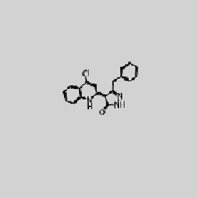 O=C1NN=C(Cc2ccccc2)C1=C1C=C(Cl)c2ccccc2N1